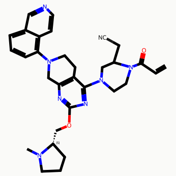 C=CC(=O)N1CCN(c2nc(OC[C@@H]3CCCN3C)nc3c2CCN(c2cccc4cnccc24)C3)CC1CC#N